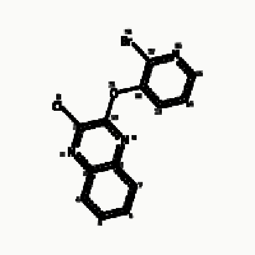 Clc1nc2ccccc2nc1Oc1cccnc1Br